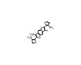 Bc1ccsc1-c1oc2cc3c(C)c(-c4sccc4B)oc3cc2c1B